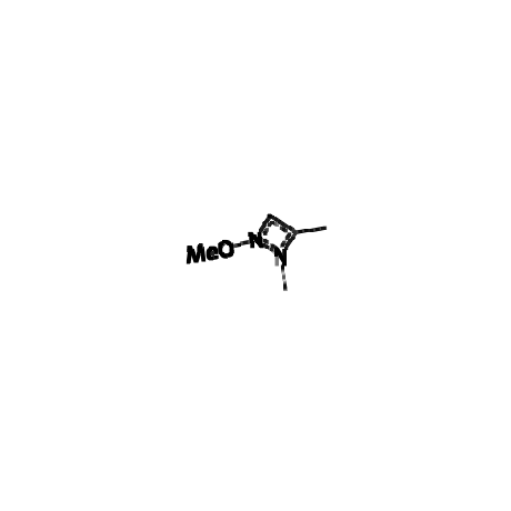 COn1cc(C)n1C